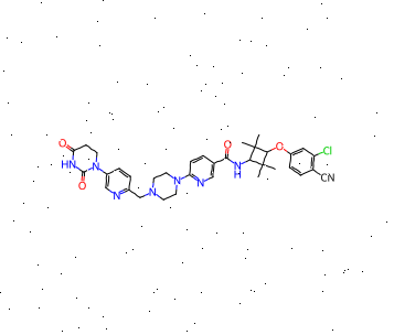 CC1(C)C(NC(=O)c2ccc(N3CCN(Cc4ccc(N5CCC(=O)NC5=O)cn4)CC3)nc2)C(C)(C)C1Oc1ccc(C#N)c(Cl)c1